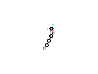 CCC1CCC(C2CCC(c3ccc(C(F)(F)Oc4cc(F)c(F)c(F)c4)cc3)CC2)CC1